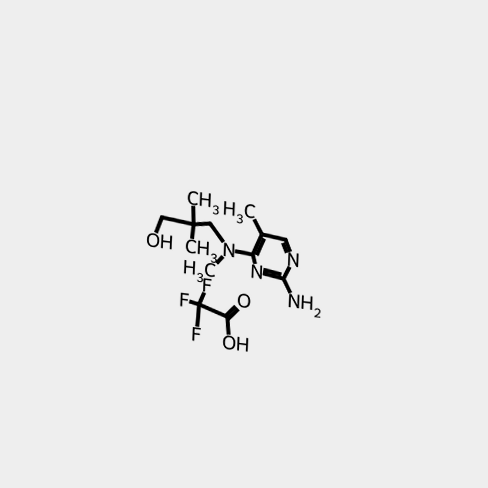 Cc1cnc(N)nc1N(C)CC(C)(C)CO.O=C(O)C(F)(F)F